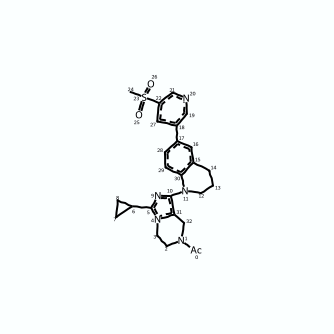 CC(=O)N1CCn2c(C3CC3)nc(N3CCCc4cc(-c5cncc(S(C)(=O)=O)c5)ccc43)c2C1